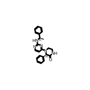 C[C@@H](Nc1nccc(N2CCNC(=O)[C@H]2c2ccccc2)n1)c1ccccc1